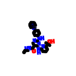 C=CCNC(=O)c1cnc(Nc2ccc(N3CC4CC(C3)N4CC)cc2)nc1Nc1cccc(C(C)(C)O)n1